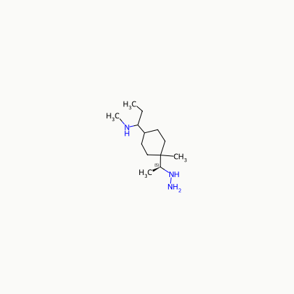 CCC(NC)C1CCC(C)([C@H](C)NN)CC1